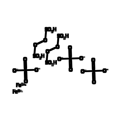 O=S(=O)(O)OOS(=O)(=O)O.O=S(=O)(O)OOS(=O)(=O)O.O=S(=O)([O-])[O-].O=S(=O)([O-])[O-].O=S(=O)([O-])[O-].[Fe+3].[Fe+3]